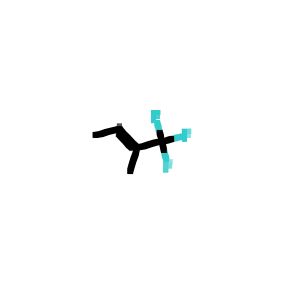 C/[C]=C(\C)C(F)(F)F